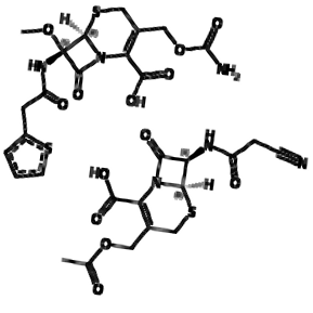 CC(=O)OCC1=C(C(=O)O)N2C(=O)[C@@H](NC(=O)CC#N)[C@H]2SC1.CO[C@@]1(NC(=O)Cc2cccs2)C(=O)N2C(C(=O)O)=C(COC(N)=O)CS[C@@H]21